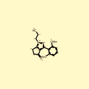 COc1cccc(OC)c1-c1nn(CCC#N)c2c1C(=O)CC2